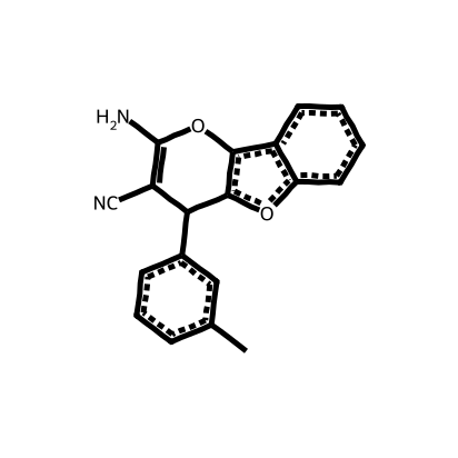 Cc1cccc(C2C(C#N)=C(N)Oc3c2oc2ccccc32)c1